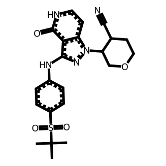 CC(C)(C)S(=O)(=O)c1ccc(Nc2nn(C3COCCC3C#N)c3cc[nH]c(=O)c23)cc1